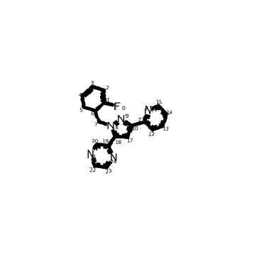 FC1=CC=CCC1Cn1nc(-c2ccccn2)cc1-c1cnccn1